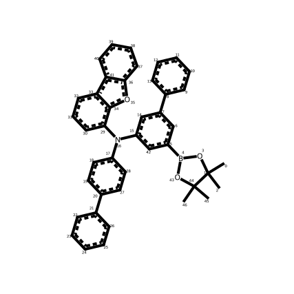 CC1(C)OB(c2cc(-c3ccccc3)cc(N(c3ccc(-c4ccccc4)cc3)c3cccc4c3oc3ccccc34)c2)OC1(C)C